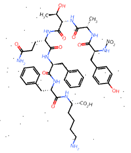 C[C@H](NC(=O)[C@H](Cc1ccc(O)cc1)N[N+](=O)[O-])C(=O)N[C@H](C(=O)N[C@@H](CCC(N)=O)C(=O)N[C@@H](Cc1ccccc1)C(=O)N[C@@H](Cc1ccccc1)C(=O)N[C@@H](CCCCN)C(=O)O)[C@@H](C)O